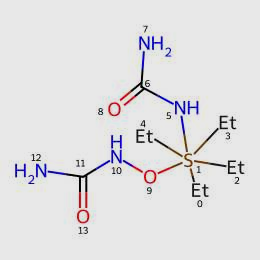 CCS(CC)(CC)(CC)(NC(N)=O)ONC(N)=O